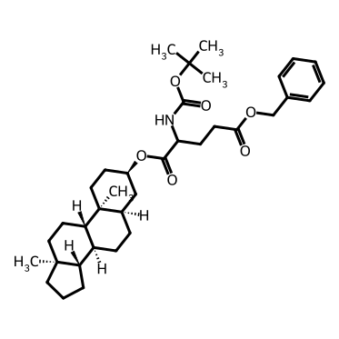 CC(C)(C)OC(=O)NC(CCC(=O)OCc1ccccc1)C(=O)O[C@@H]1CC[C@@]2(C)[C@H](CC[C@H]3[C@@H]4CCC[C@@]4(C)CC[C@@H]32)C1